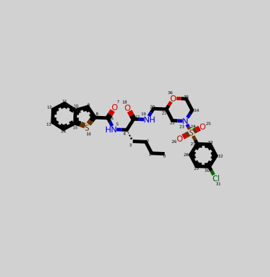 CCCC[C@H](NC(=O)c1cc2ccccc2s1)C(=O)NCC1CN(S(=O)(=O)c2ccc(Cl)cc2)CCO1